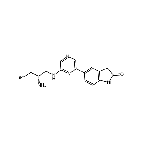 CC(C)C[C@@H](N)CNc1cncc(-c2ccc3c(c2)CC(=O)N3)n1